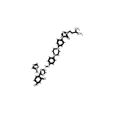 CC(C)CCn1ncn(-c2ccc(N3CCN(c4ccc(OC[C@@H]5CO[C@@](Cn6cncn6)(c6ccc(Cl)cc6Cl)O5)cc4)CC3)cc2)c1=O